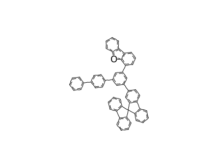 c1ccc(-c2ccc(-c3cc(-c4ccc5c(c4)C4(c6ccccc6-c6ccccc64)c4ccccc4-5)cc(-c4cccc5c4oc4ccccc45)c3)cc2)cc1